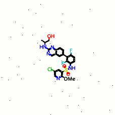 COc1ncc(Cl)cc1S(=O)(=O)Nc1ccc(F)c(-c2ccc3nc(NC(C)CO)ncc3c2)c1F